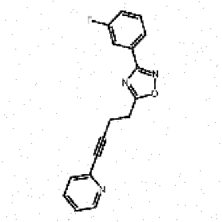 Fc1cccc(-c2noc(CCC#Cc3ccccn3)n2)c1